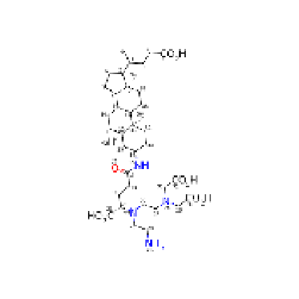 CC(CCC(=O)O)C1CCC2C3CC[C@@H]4C[C@@H](NC(=O)CC[C@@H](C(=O)O)N(CCN)CCN(CC(=O)O)CC(=O)O)CC[C@]4(C)C3CC[C@]12C